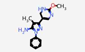 COC1=NC=C(c2nn(-c3ccccc3)c(N)c2C)CN1